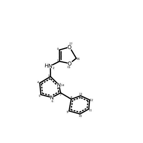 C1=C(Nc2ccnc(-c3ccccc3)n2)OCO1